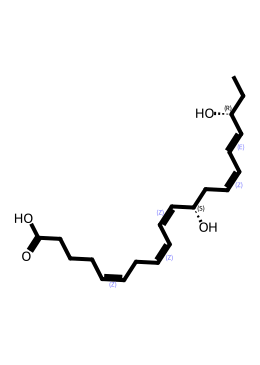 CC[C@@H](O)/C=C/C=C\C[C@H](O)/C=C\C=C/C/C=C\CCCC(=O)O